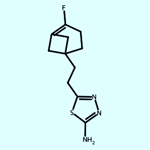 Nc1nnc(CCC23CCC(F)=C(C2)C3)s1